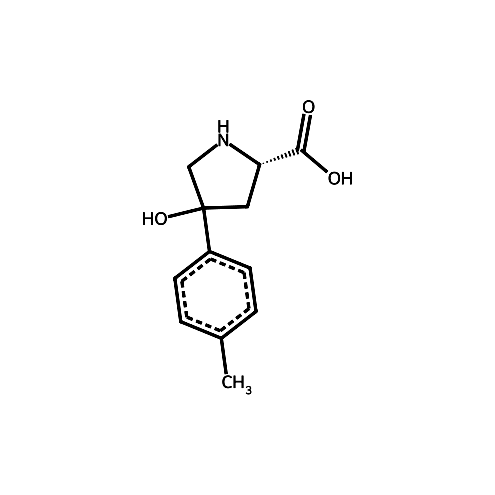 Cc1ccc(C2(O)CN[C@H](C(=O)O)C2)cc1